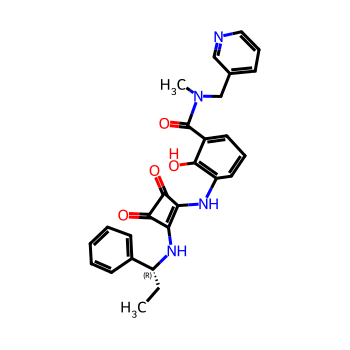 CC[C@@H](Nc1c(Nc2cccc(C(=O)N(C)Cc3cccnc3)c2O)c(=O)c1=O)c1ccccc1